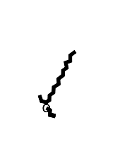 C=CCOC(CC)CCCCCCCCCCCCC